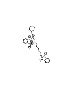 O=C1c2ccccc2C(=O)N1CCCCCCCCN(OCC1CCCCC1)S(=O)(=O)c1ccccc1[N+](=O)[O-]